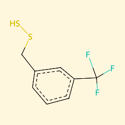 FC(F)(F)c1cccc(CSS)c1